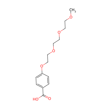 COCCOCCOCCOc1ccc(C(=O)O)cc1